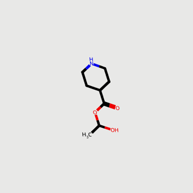 CC(O)OC(=O)C1CCNCC1